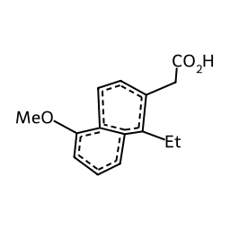 CCc1c(CC(=O)O)ccc2c(OC)cccc12